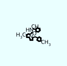 Cc1ccc(Cc2ccc3cc(C)cc(C(=O)N[C@@H](C)c4ccccc4)n23)cc1